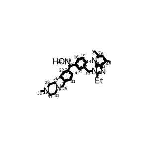 CCc1nc2c(C)cc(C)nc2n1Cc1cccc(/C(=N/O)c2ccc(CN3CCN(C)CC3)cc2)c1